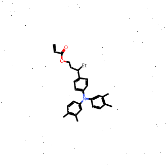 C=CC(=O)OCCC(CC)c1ccc(N(c2ccc(C)c(C)c2)c2ccc(C)c(C)c2)cc1